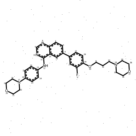 Fc1cc(-c2ccc3ncnc(Nc4ccc(N5CCOCC5)cc4)c3c2)ccc1OCCCN1CCOCC1